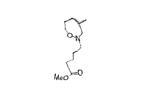 COC(=O)CCCCN1CC(C)CCCO1